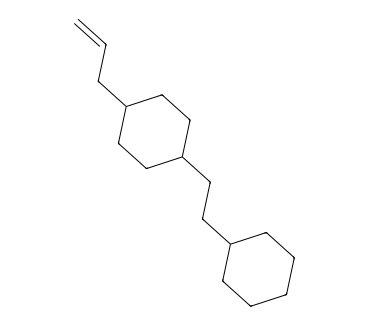 C=CCC1CCC(CCC2CCCCC2)CC1